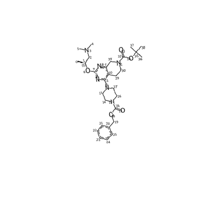 C[C@@H](CN(C)C)Oc1nc2c(c(N3CCN(C(=O)OCc4ccccc4)CC3)n1)CCN(C(=O)OC(C)(C)C)C2